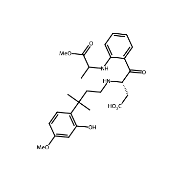 COC(=O)C(C)Nc1ccccc1C(=O)[C@H](CC(=O)O)NCCC(C)(C)c1ccc(OC)cc1O